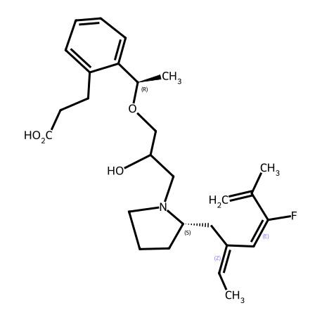 C=C(C)/C(F)=C\C(=C/C)C[C@@H]1CCCN1CC(O)CO[C@H](C)c1ccccc1CCC(=O)O